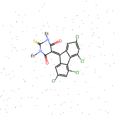 CCN1C(=O)C(=C2c3cc(Cl)cc(Cl)c3-c3c(Cl)cc(Cl)cc32)C(=O)N(CC)C1=S